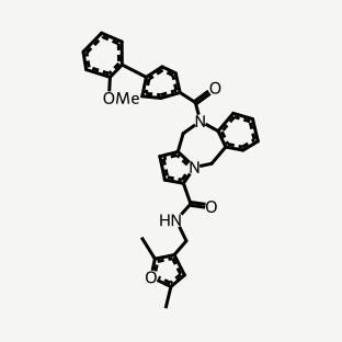 COc1ccccc1-c1ccc(C(=O)N2Cc3ccc(C(=O)NCc4cc(C)oc4C)n3Cc3ccccc32)cc1